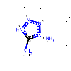 N.Nc1nnn[nH]1